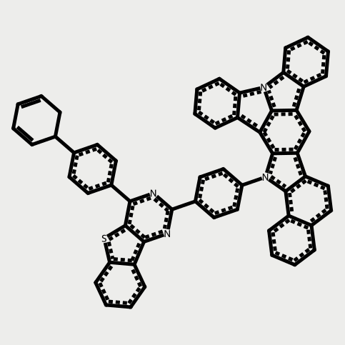 C1=CCC(c2ccc(-c3nc(-c4ccc(-n5c6c7ccccc7ccc6c6cc7c8ccccc8n8c9ccccc9c(c65)c78)cc4)nc4c3sc3ccccc34)cc2)C=C1